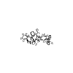 C=CCn1/c(=N\C(=O)c2ccccc2[N+](=O)[O-])sc2cc(S(C)(=O)=O)ccc21